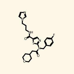 O=C(NCCCn1ccnc1)c1cnc(N(Cc2ccc(F)cc2)C(=O)CC2CCOCC2)s1